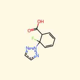 O=C(O)C1C=CC=CC1(F)n1nccn1